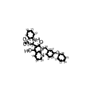 O=c1c(C2=NS(=O)(=O)c3ccccc3N2)c(O)c2cccnc2n1Cc1cccc(Oc2ccccc2)c1